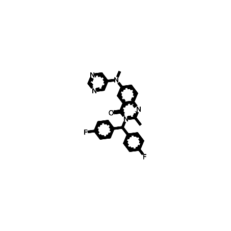 Cc1nc2ccc(N(C)c3cncnc3)cc2c(=O)n1C(c1ccc(F)cc1)c1ccc(F)cc1